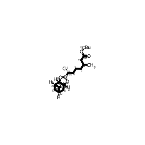 CC(CCC[C@@H](Cl)B1O[C@H]2[C@H]3C[C@@H](C[C@H]2O1)C3(C)C)CC(=O)OC(C)(C)C